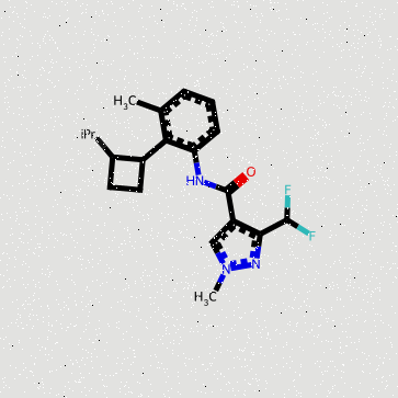 Cc1cccc(NC(=O)c2cn(C)nc2C(F)F)c1C1CCC1C(C)C